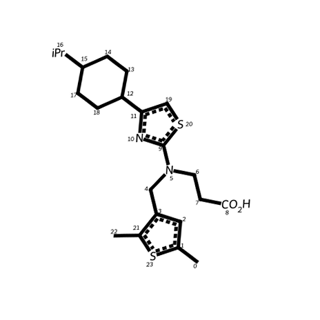 Cc1cc(CN(CCC(=O)O)c2nc(C3CCC(C(C)C)CC3)cs2)c(C)s1